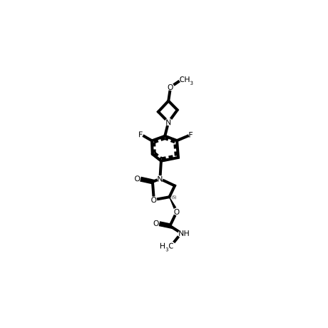 CNC(=O)O[C@@H]1CN(c2cc(F)c(N3CC(OC)C3)c(F)c2)C(=O)O1